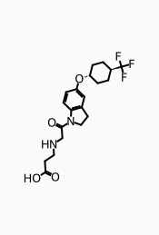 O=C(O)CCNCC(=O)N1CCc2cc(O[C@H]3CC[C@H](C(F)(F)F)CC3)ccc21